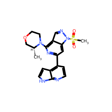 C[C@@H]1COCCN1c1nc(-c2ccnc3[nH]ccc23)cc2c1cnn2S(C)(=O)=O